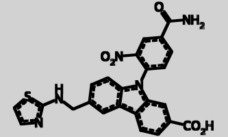 NC(=O)c1ccc(-n2c3ccc(CNc4nccs4)cc3c3ccc(C(=O)O)cc32)c([N+](=O)[O-])c1